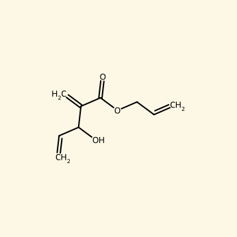 C=CCOC(=O)C(=C)C(O)C=C